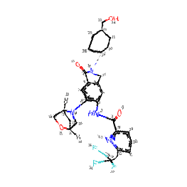 O=C(Nc1cc2c(cc1N1C[C@H]3C[C@@H]1CO3)C(=O)N([C@H]1CC[C@H](CO)CC1)C2)c1cccc(C(F)(F)F)n1